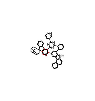 c1cncc(-c2nc(-c3cccnc3)nc(-c3ccccc3-c3cc(-c4ccc5c(c4)-c4ccccc4C54C5CC6CC(C5)CC4C6)cc4c3[nH]c3ccc5ccccc5c34)n2)c1